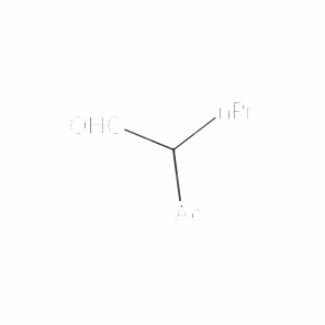 CCCC(C=O)C(C)=O